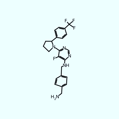 NCc1ccc(CNc2ncnc(N3CCCC3c3ccc(C(F)(F)F)cc3)c2F)cc1